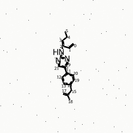 C=C/C(=C\CC)Nc1ncc(-c2ccc(CC(=C)C)cc2)cn1